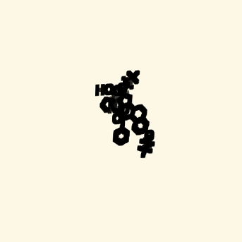 CC(C)(C)[Si](C)(C)Oc1ccc2c(c1)CCC1C2CC[C@@]2(C)C1C[C@@H](O[Si](C)(C)C(C)(C)C)[C@H]2[C@]1(C(=O)O)CCCN1C(=O)OCc1ccccc1